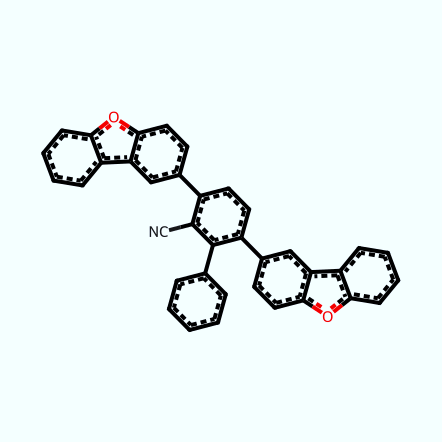 N#Cc1c(-c2ccc3oc4ccccc4c3c2)ccc(-c2ccc3oc4ccccc4c3c2)c1-c1ccccc1